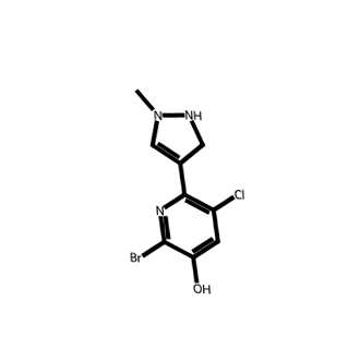 CN1C=C(c2nc(Br)c(O)cc2Cl)CN1